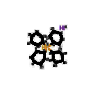 I.c1ccc([PH](c2ccccc2)(c2ccccc2)c2ccccc2)cc1